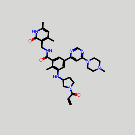 C=CC(=O)N1CCC(Nc2cc(-c3cc(N4CCN(C)CC4)ncn3)cc(C(=O)NCc3c(C)cc(C)[nH]c3=O)c2C)C1